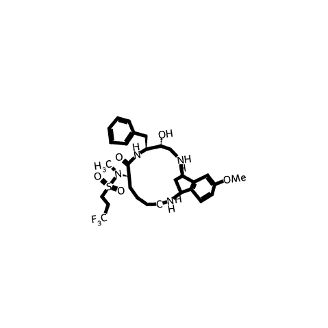 COc1ccc2c(c1)[C@@H]1C[C@H]2NCCCC[C@H](N(C)S(=O)(=O)CCC(F)(F)F)C(=O)N[C@@H](Cc2ccccc2)[C@H](O)CN1